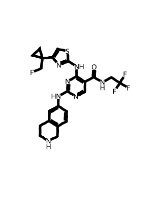 O=C(NCC(F)(F)F)c1cnc(Nc2ccc3c(c2)CCNC3)nc1Nc1nc(C2(CF)CC2)cs1